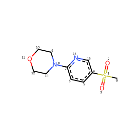 CS(=O)(=O)c1ccc(N2CCOCC2)nc1